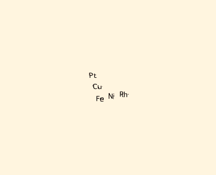 [Cu].[Fe].[Ni].[Pt].[Rh]